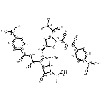 C[C@@H](O)C1C(=O)N2C(C(=O)OC(=O)c3ccc([N+](=O)[O-])cc3)=C(S[C@H]3CC(C(=O)N(C)C)N(C(=O)OC(=O)c4ccc([N+](=O)[O-])cc4)C3)[C@H](C)C12